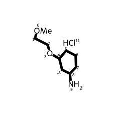 COCCOC1CCCC(N)C1.Cl